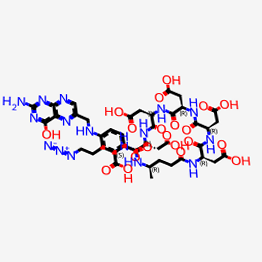 C[C@H](CCC(=O)N[C@H](CC(=O)O)C(=O)N[C@H](CC(=O)O)C(=O)N[C@H](CC(=O)O)C(=O)N[C@H](CC(=O)O)C(=O)N[C@H](CC(=O)O)C(=O)N[C@@H](CCCN=[N+]=[N-])C(=O)O)NC(=O)c1ccc(NCc2cnc3nc(N)nc(O)c3n2)cc1